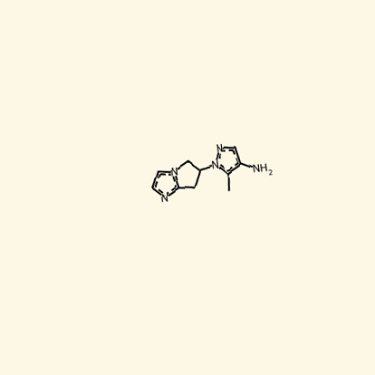 Cc1c(N)cnn1C1Cc2nccn2C1